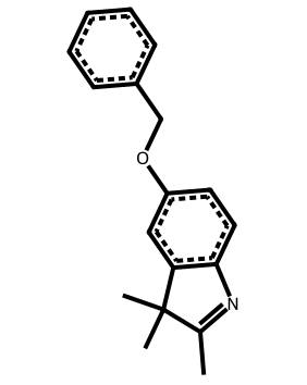 CC1=Nc2ccc(OCc3ccccc3)cc2C1(C)C